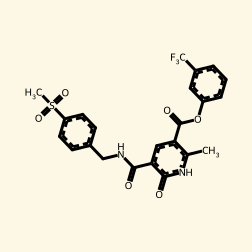 Cc1[nH]c(=O)c(C(=O)NCc2ccc(S(C)(=O)=O)cc2)cc1C(=O)Oc1cccc(C(F)(F)F)c1